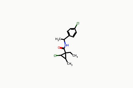 CCC1(C(=O)NC(C)c2ccc(Cl)cc2)C(C)C1Cl